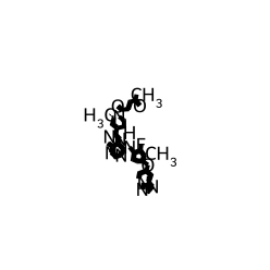 CC(=O)/C=C/C(=O)N1CCC(c2ncc3ncnc(Nc4ccc(Oc5ccn6ncnc6c5)c(C)c4F)c3n2)=C[C@@H]1C